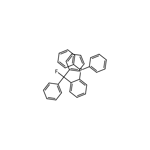 FC(c1ccccc1)(c1ccccc1)c1ccccc1P(c1ccccc1)c1ccccc1